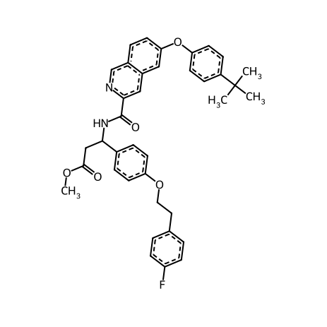 COC(=O)CC(NC(=O)c1cc2cc(Oc3ccc(C(C)(C)C)cc3)ccc2cn1)c1ccc(OCCc2ccc(F)cc2)cc1